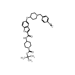 [C-]#[N+]c1ccc(CN2CCC(Oc3ccc4oc(C(=O)NC5CCN(C(=O)OC(C)(C)C)CC5)cc4c3)CC2)cc1